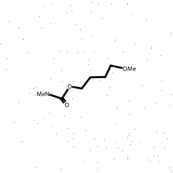 CNC(=O)OCCCCOC